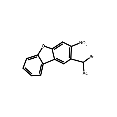 CC(=O)C(Br)c1cc2c(cc1[N+](=O)[O-])oc1ccccc12